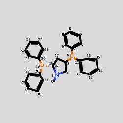 CN1CC(P(c2ccccc2)c2ccccc2)C[C@H]1P(c1ccccc1)c1ccccc1